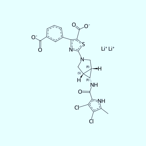 Cc1[nH]c(C(=O)N[C@@H]2[C@@H]3CN(c4nc(-c5cccc(C(=O)[O-])c5)c(C(=O)[O-])s4)C[C@@H]32)c(Cl)c1Cl.[Li+].[Li+]